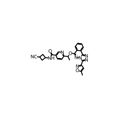 Cc1cc(-c2nnc3c4ccccc4c(OC(C)c4ccc(C(=O)NC5CC(C#N)C5)cn4)nn23)no1